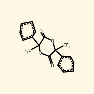 O=C1OC(c2ccccc2)(C(F)(F)F)C(=O)OC1(c1ccccc1)C(F)(F)F